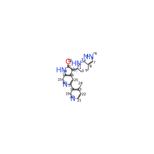 C/C(Nc1nn(C)cc1C)=C1/C(=O)Nc2cnc(-c3cnccc3C)cc21